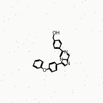 OCc1ccc(-c2cn3c(-c4ccc(Oc5ccccc5)cc4)cnc3cn2)cc1